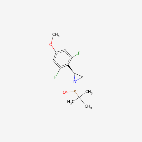 COc1cc(F)c([C@H]2CN2[S+]([O-])C(C)(C)C)c(F)c1